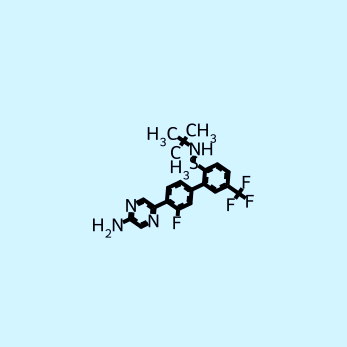 CC(C)(C)NSc1ccc(C(F)(F)F)cc1-c1ccc(-c2cnc(N)cn2)c(F)c1